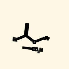 CC(=O)O.CCCOC(=O)CC